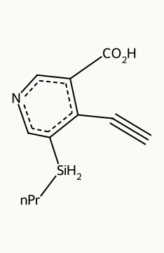 C#Cc1c([SiH2]CCC)cncc1C(=O)O